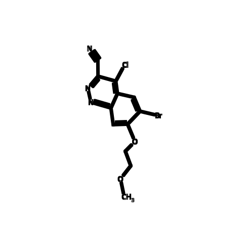 COCCOc1cc2nnc(C#N)c(Cl)c2cc1Br